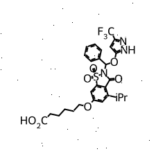 CC(C)c1cc(OCCCCCC(=O)O)cc2c1C(=O)N(C(Oc1cc(C(F)(F)F)n[nH]1)c1ccccc1)S2(=O)=O